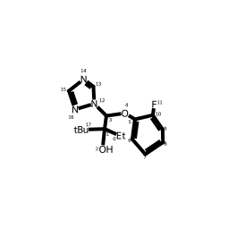 CCC(O)(C(Oc1ccccc1F)n1cncn1)C(C)(C)C